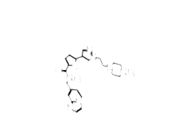 O=C(NCc1ccn2ccnc2c1)c1ccc(-c2cnn(CCN3CCNCC3)c2)o1